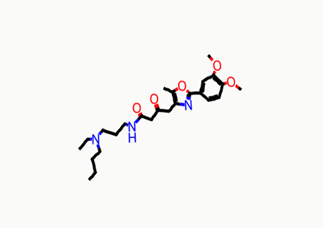 CCCCN(CC)CCCNC(=O)CC(=O)Cc1nc(-c2ccc(OC)c(OC)c2)oc1C